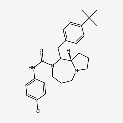 CC(C)(C)c1ccc(CC2[C@@H]3CCCN3CCCN2C(=O)Nc2ccc(Cl)cc2)cc1